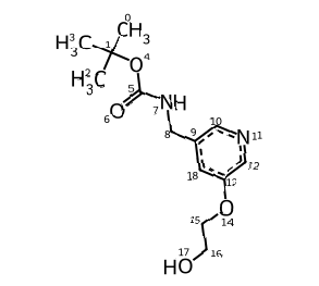 CC(C)(C)OC(=O)NCc1cncc(OCCO)c1